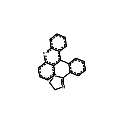 c1ccc(-c2c3ccccc3[s+]c3ccccc23)c(C2=NCCO2)c1